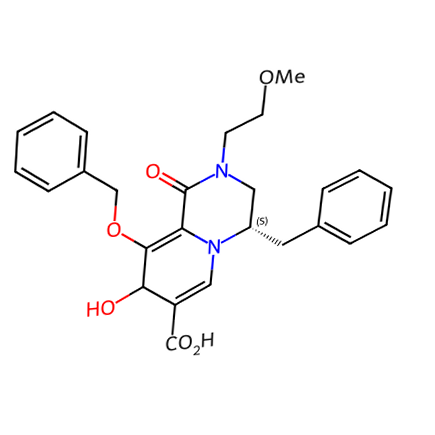 COCCN1C[C@H](Cc2ccccc2)N2C=C(C(=O)O)C(O)C(OCc3ccccc3)=C2C1=O